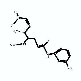 CC/C(=C\CC(NOC)[C@H](C)/N=C\N(C)CC)Nc1cccc(C(F)(F)F)c1